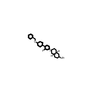 CCCC1CC[C@@H]2C[C@H](c3ccc(-c4ccc(OCc5ccccc5)cc4)c(F)c3)CC[C@@H]2C1